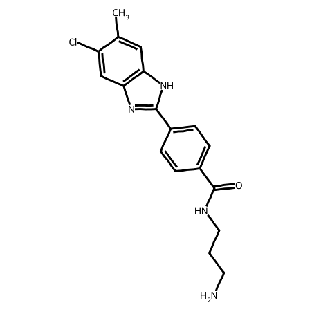 Cc1cc2[nH]c(-c3ccc(C(=O)NCCCN)cc3)nc2cc1Cl